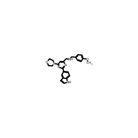 COc1ccc(CNCc2cc(N3CCOCC3)nc(-c3ccc4[nH]ccc4c3)n2)cc1